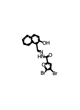 O=C(N/N=C/c1c(O)ccc2ccccc12)c1cc(Br)c(Br)o1